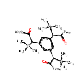 COC(=O)C(c1cc(C(C(=O)OC)[Si](C)(C)C)cc(C(C(=O)OC)[Si](C)(C)C)c1)[Si](C)(C)C